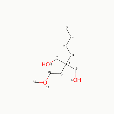 CCCCC(CO)(CO)CCOC